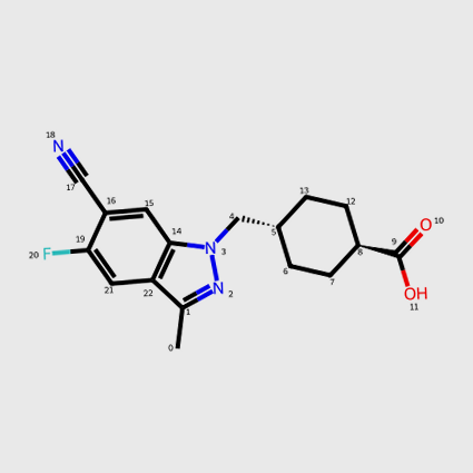 Cc1nn(C[C@H]2CC[C@H](C(=O)O)CC2)c2cc(C#N)c(F)cc12